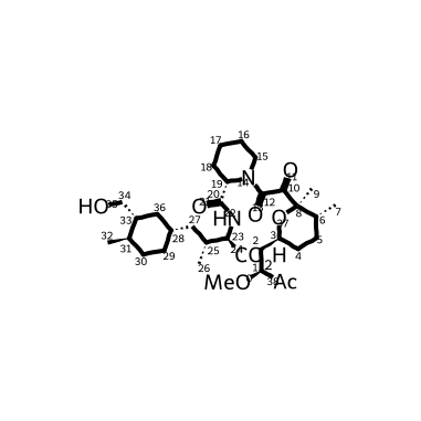 CO[C@@H](C[C@@H]1CC[C@@H](C)[C@](C)(C(=O)C(=O)N2CCCC[C@H]2C(=O)N[C@@H](C(=O)O)[C@H](C)C[C@@H]2CC[C@@H](C)[C@H](CO)C2)O1)C(C)=O